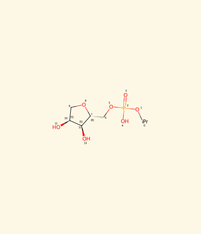 CC(C)OP(=O)(O)OC[C@H]1OC[C@H](O)[C@@H]1O